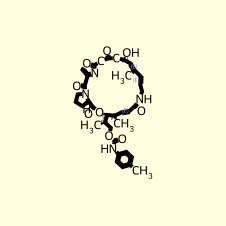 CC1=C\[C@@H](O)CC(=O)Cc2nc(co2)C(=O)N2CCC[C@@H]2C(=O)O[C@H]([C@H](C)COC(=O)Nc2ccc(C)cc2)[C@H](C)/C=C/C(=O)NC\C=C\1